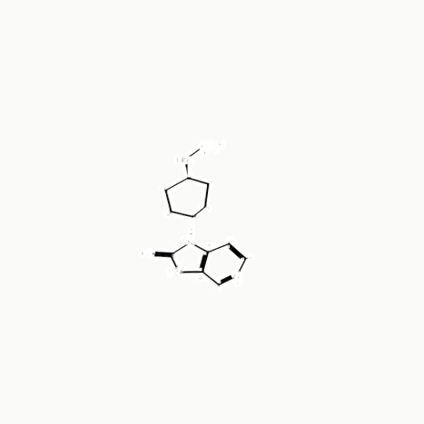 O=C(O)N[C@H]1CC[C@H](n2c(=O)[nH]c3cnccc32)CC1